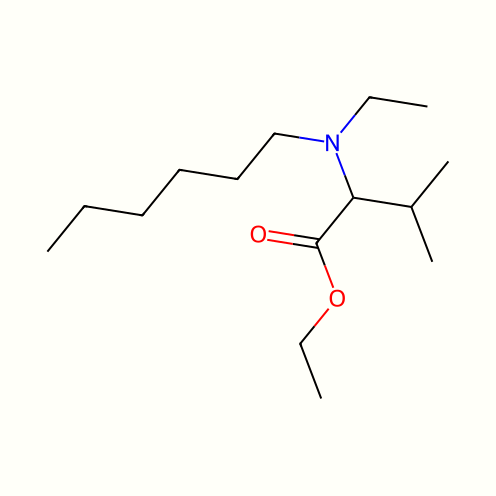 CCCCCCN(CC)C(C(=O)OCC)C(C)C